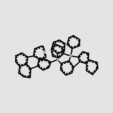 c1ccc(-c2cccc3cccc(-c4ccc(N(c5ccccc5)c5cccc6c5[Si](c5ccccc5)(c5ccccc5)c5ccc7ccccc7c5-6)cc4)c23)cc1